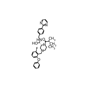 CC(C)C(=O)N1[C@H](C)CN(Cc2c(F)cccc2Oc2ccccc2)C[C@@H]1C(O)NCc1ccc(-c2ncccn2)cc1